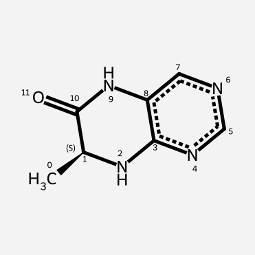 C[C@@H]1Nc2ncncc2NC1=O